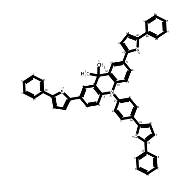 CC1(C)c2cc(-c3ccc(-c4ccccc4)s3)ccc2N(c2ccc(-c3ccc(-c4ccccc4)s3)cc2)c2ccc(-c3ccc(-c4ccccc4)s3)cc21